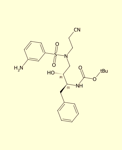 CC(C)(C)OC(=O)N[C@@H](Cc1ccccc1)[C@H](O)CN(CCC#N)S(=O)(=O)c1cccc(N)c1